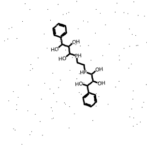 OC(PCCPC(O)C(O)C(O)c1ccccc1)C(O)C(O)c1ccccc1